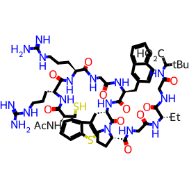 CC[C@H](NC(=O)CNC(=O)[C@@H]1CCCN1C(=O)[C@H](Cc1csc2ccccc12)NC(=O)[C@H](Cc1ccc2ccccc2c1)NC(=O)CNC(=O)[C@H](CCCNC(=N)N)NC(=O)[C@@H](CCCNC(=N)N)NC(=O)[C@H](CS)NC(C)=O)C(=O)NCC(=O)NC(C(=O)O)C(C)(C)C